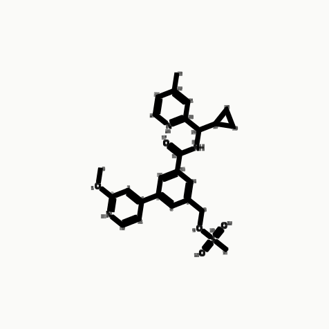 COc1cc(-c2cc(COS(C)(=O)=O)cc(C(=O)NC(c3cc(C)ccn3)C3CC3)c2)ccn1